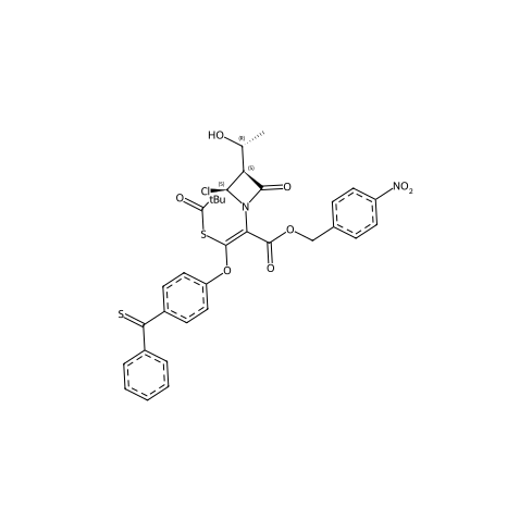 C[C@@H](O)[C@H]1C(=O)N(C(C(=O)OCc2ccc([N+](=O)[O-])cc2)=C(Oc2ccc(C(=S)c3ccccc3)cc2)SC(=O)C(C)(C)C)[C@H]1Cl